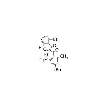 CCc1cccc(CC)c1C(=O)P(=O)(CC)C(=O)c1c(C)cc(C(C)(C)C)cc1C